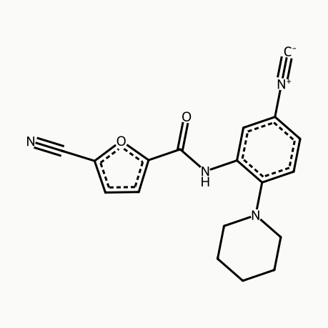 [C-]#[N+]c1ccc(N2CCCCC2)c(NC(=O)c2ccc(C#N)o2)c1